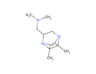 CC1=C(C)N2CCN1CC2CN(C)C